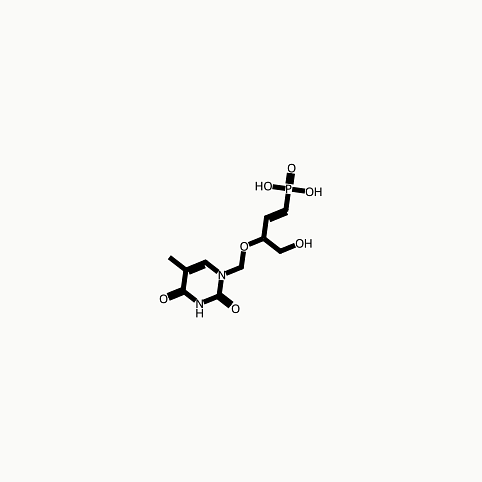 Cc1cn(COC(C=CP(=O)(O)O)CO)c(=O)[nH]c1=O